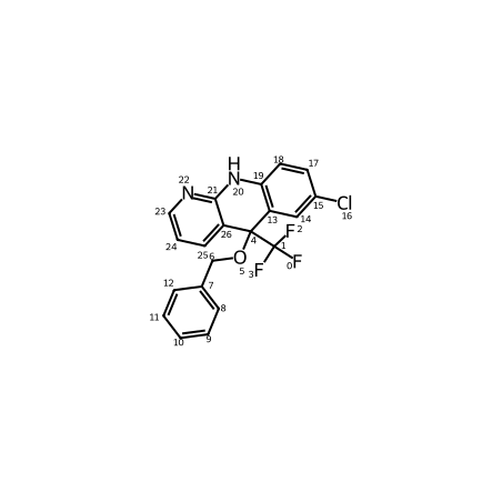 FC(F)(F)C1(OCc2ccccc2)c2cc(Cl)ccc2Nc2ncccc21